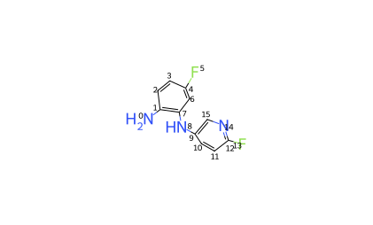 Nc1ccc(F)cc1Nc1ccc(F)nc1